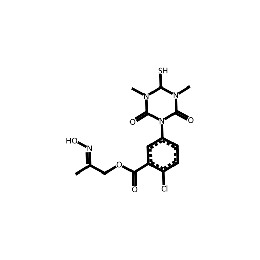 CC(COC(=O)c1cc(N2C(=O)N(C)C(S)N(C)C2=O)ccc1Cl)=NO